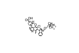 C[Si](C)(C)CCOCn1nc(-c2c(Cl)c3c4c(ncnc4c2F)N2CCN(C(=O)O)C[C@H]2CO3)c2ccccc21